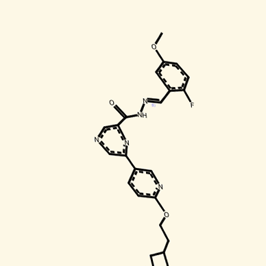 COc1ccc(F)c(/C=N/NC(=O)c2cncc(-c3ccc(OCCC4CNC4)nc3)n2)c1